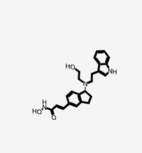 O=C(/C=C/c1ccc2c(c1)CC[C@H]2N(CCO)CCc1c[nH]c2ccccc12)NO